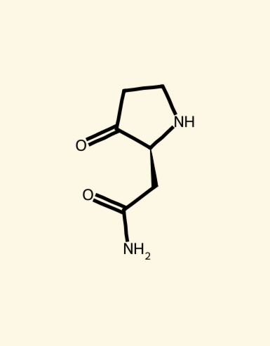 NC(=O)C[C@@H]1NCCC1=O